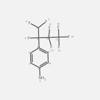 Nc1ccc(C(F)(C(F)F)C(F)(F)C(F)(F)F)cc1